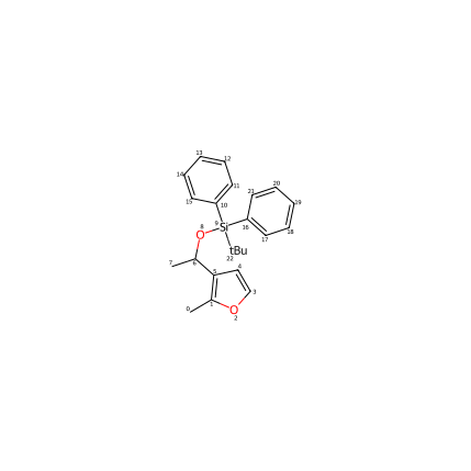 Cc1occc1C(C)O[Si](c1ccccc1)(c1ccccc1)C(C)(C)C